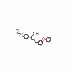 C#CC(CCCc1cccc(Oc2ccccc2)c1)c1ccc(OCC=C)cc1